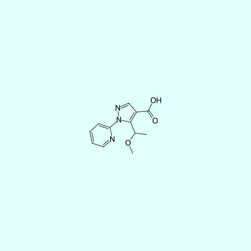 COC(C)c1c(C(=O)O)cnn1-c1ccccn1